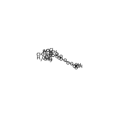 COc1cc(C(=O)OCOC(=O)OCCOCCOCCOCCOP(=O)(O)O)ccc1NC(=O)[C@@H]1N[C@@H](CC(C)(C)C)[C@](C#N)(c2ccc(Cl)cc2F)C1c1cccc(Cl)c1F